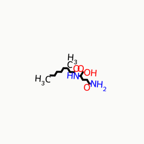 CCCCCCC(C)CC(=O)NC(CCC(N)=O)C(=O)O